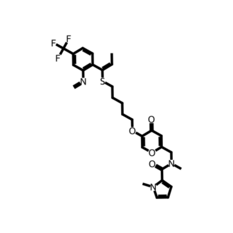 C=Nc1cc(C(F)(F)F)ccc1/C(=C\C)SCCCCCOc1coc(CN(C)C(=O)c2cccn2C)cc1=O